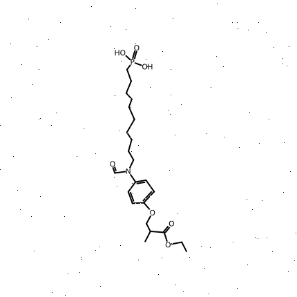 CCOC(=O)C(C)COc1ccc(N(C=O)CCCCCCCCCCP(=O)(O)O)cc1